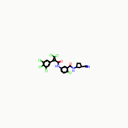 N#CC1CCC(NC(=O)c2cc(NC(=O)C3C(c4cc(Cl)c(Cl)c(Cl)c4)C3(Cl)Cl)ccc2Cl)C1